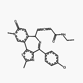 CCNC(=O)C=C=CC1N=C(c2ccc(Cl)cc2)c2nc(C)sc2-c2cn(C)c(=O)cc21